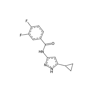 O=C(Nc1cc(C2CC2)[nH]n1)c1ccc(F)c(F)c1